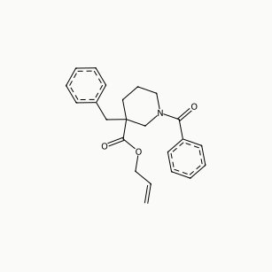 C=CCOC(=O)C1(Cc2ccccc2)CCCN(C(=O)c2ccccc2)C1